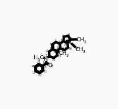 CC1C2CCC3C4CC=C5CC(N(C)C(=O)c6ccccc6)CCC5(C)C4CCC32CN1C